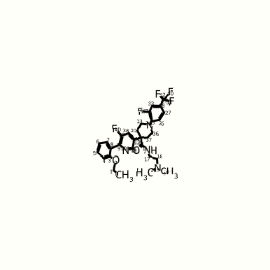 CCOc1ccccc1-c1ncc(C2(C(=O)NCCN(C)C)CCN(c3ccc(C(F)(F)F)cc3F)CC2)cc1F